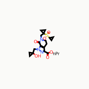 CCCOC(=O)c1nn(CC2(O)CC2)c2c1CCN(CC1(S(=O)(=O)C3CC3)CC1)C2=O